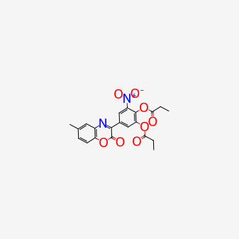 CCC(=O)Oc1cc(-c2nc3cc(C)ccc3oc2=O)cc([N+](=O)[O-])c1OC(=O)CC